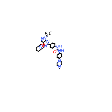 CN1CCN(c2ccc(NC(=O)Nc3ccc(-c4nc(N5C6CCCC5COC6)c5cnn(CC(F)(F)F)c5n4)cc3)cc2)CC1